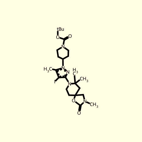 Cc1c(I)c(N2CCC3(CN(C)C(=O)O3)CC2(C)C)nn1C1CCN(C(=O)OC(C)(C)C)CC1